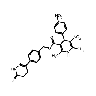 CC1=C(C(=O)OCc2ccc(C3=NNC(=O)CC3)cc2)C(c2ccc([N+](=O)[O-])cc2)C([N+](=O)[O-])=C(C)N1